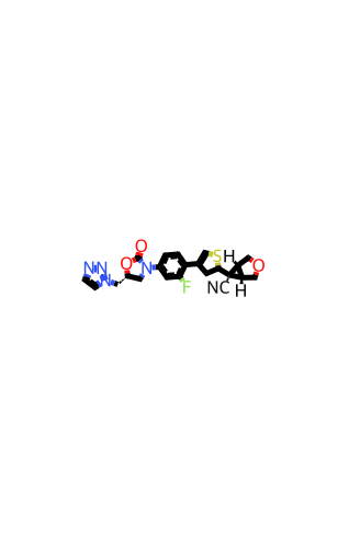 N#C[C@]1(C2CC(c3ccc(N4C[C@H](Cn5ccnn5)OC4=O)cc3F)=CS2)[C@@H]2COC[C@@H]21